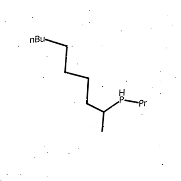 CCCCCCCCC(C)[PH][Pr]